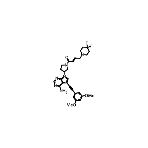 COc1cc(C#Cc2cn([C@H]3CCN(C(=O)C=CCN4CCC(F)(F)CC4)C3)c3ncnc(N)c23)cc(OC)c1